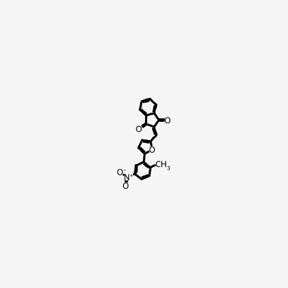 Cc1ccc([N+](=O)[O-])cc1-c1ccc(C=C2C(=O)c3ccccc3C2=O)o1